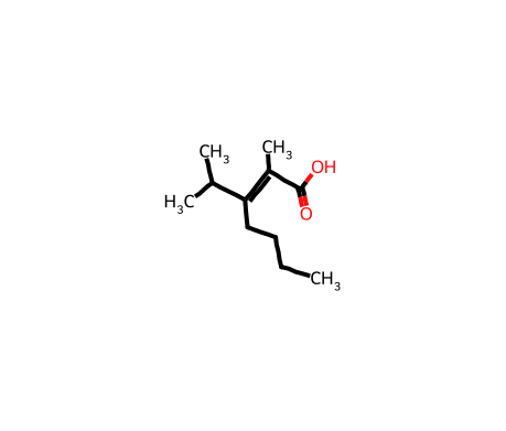 CCCCC(=C(C)C(=O)O)C(C)C